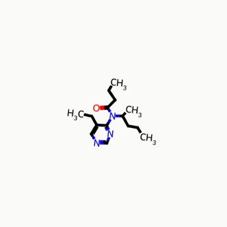 CCCC(=O)N(c1ncncc1CC)C(C)CCC